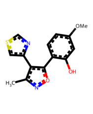 COc1ccc(-c2onc(C)c2-c2cscn2)c(O)c1